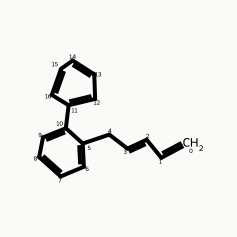 C=CC=CCc1ccccc1-c1ccccc1